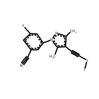 Cc1nn(-c2cc(F)cc(C#N)c2)c(C)c1C#CSI